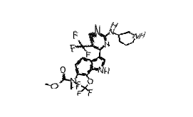 COC(=O)Nc1ccc2c(-c3nc(NC4CCCNC4)ncc3C(F)(F)F)c[nH]c2c1OC(F)(F)F